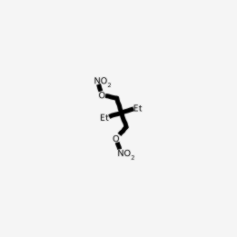 CCC(CC)(CO[N+](=O)[O-])CO[N+](=O)[O-]